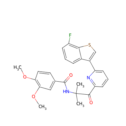 COc1ccc(C(=O)NC(C)(C)C(=O)c2cccc(-c3csc4c(F)cccc34)n2)cc1OC